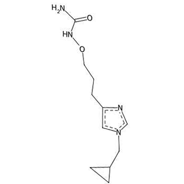 NC(=O)NOCCCc1cn(CC2CC2)cn1